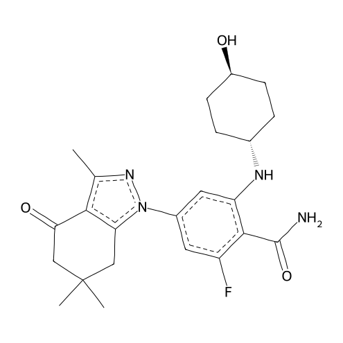 Cc1nn(-c2cc(F)c(C(N)=O)c(N[C@H]3CC[C@H](O)CC3)c2)c2c1C(=O)CC(C)(C)C2